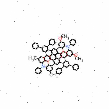 COc1ccc2c(c1)N(c1ccccc1)c1cc(OC)cc3c1B2c1cc2c(-c4c(-c5ccccc5)cc(-c5ccccc5)cc4-c4ccccc4)cc4c5c(cc6c(-c7c(-c8ccccc8)cc(-c8ccccc8)cc7-c7ccccc7)cc-3c1c6c25)B1c2ccc(C)cc2N(c2ccccc2)c2cc(C)cc-4c21